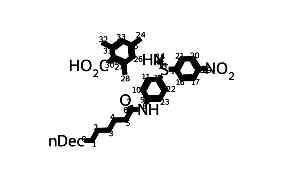 CCCCCCCCCCCCCCCC(=O)Nc1ccc(S(=N)c2ccc([N+](=O)[O-])cc2)cc1.Cc1cc(C)c(C(=O)O)c(C)c1